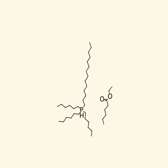 CCCCCC(=O)OCC.CCCCCCCCCCCCCC[PH](CCCCCC)(CCCCCC)CCCCCC